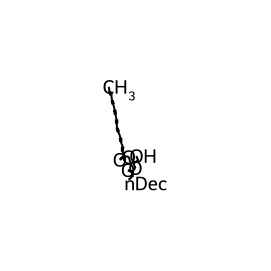 CC#CC#CC#CC#CC#CC#CC#CC(=O)OC[C@H](CO)OC(=O)CCCCCCCCCCCC